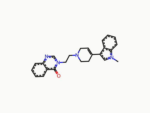 Cn1cc(C2=CCN(CCn3cnc4ccccc4c3=O)CC2)c2ccccc21